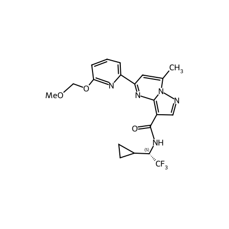 COCOc1cccc(-c2cc(C)n3ncc(C(=O)N[C@@H](C4CC4)C(F)(F)F)c3n2)n1